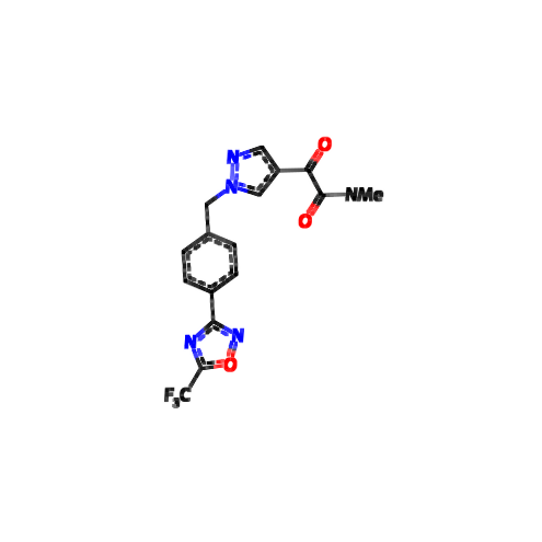 CNC(=O)C(=O)c1cnn(Cc2ccc(-c3noc(C(F)(F)F)n3)cc2)c1